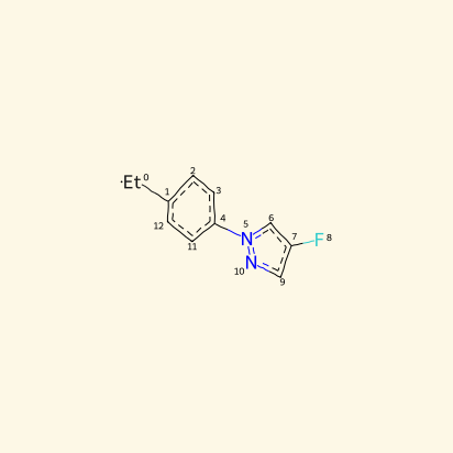 C[CH]c1ccc(-n2cc(F)cn2)cc1